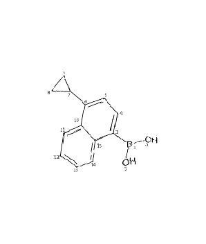 OB(O)c1ccc(C2CC2)c2ccccc12